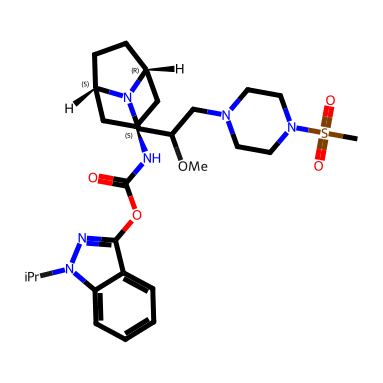 COC(CN1CCN(S(C)(=O)=O)CC1)CN1[C@@H]2CC[C@H]1C[C@H](NC(=O)Oc1nn(C(C)C)c3ccccc13)C2